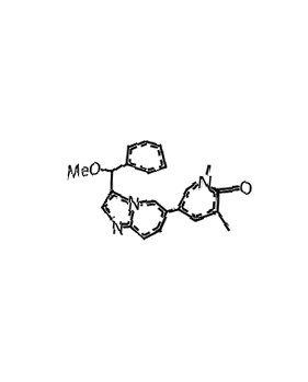 COC(c1ccccc1)c1cnc2ccc(-c3cc(C)c(=O)n(C)c3)cn12